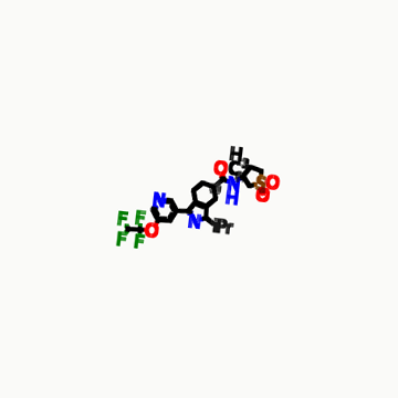 CC(C)C1N=C(c2cncc(OC(F)(F)C(F)F)c2)C2=C1C[C@H](C(=O)N[C@@]1(C)CCS(=O)(=O)C1)CC2